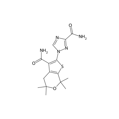 CC1(C)Cc2c(sc(-n3cnc(C(N)=O)n3)c2C(N)=O)C(C)(C)O1